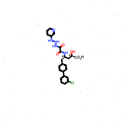 O=C(NNNc1cccnc1)C(=O)N[C@H](Cc1ccc(-c2cccc(Cl)c2)cc1)C[C@@H](O)C(=O)O